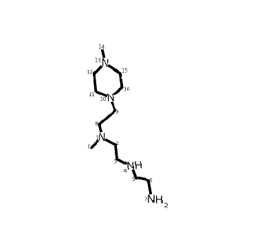 CN(CCNCCN)CCN1CCN(C)CC1